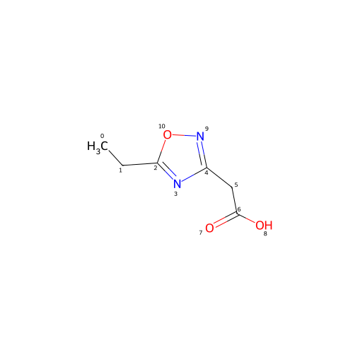 CCc1nc(CC(=O)O)no1